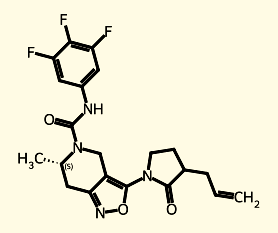 C=CCC1CCN(c2onc3c2CN(C(=O)Nc2cc(F)c(F)c(F)c2)[C@@H](C)C3)C1=O